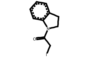 O=C(CI)N1CCc2ccccc21